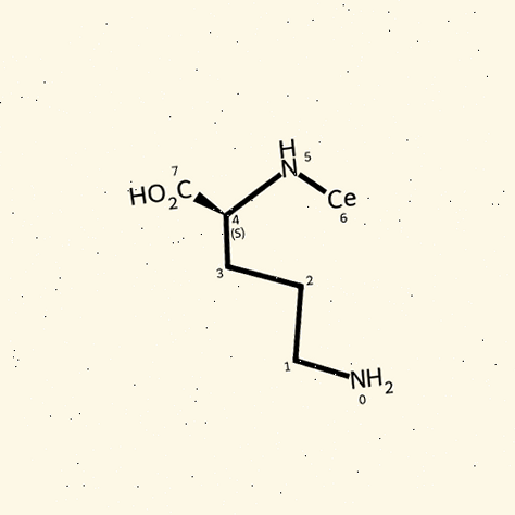 NCCC[C@H]([NH][Ce])C(=O)O